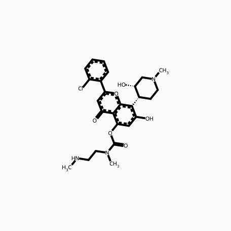 CNCCN(C)C(=O)Oc1cc(O)c([C@H]2CCN(C)C[C@H]2O)c2oc(-c3ccccc3Cl)cc(=O)c12